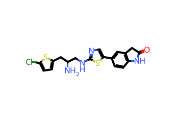 N[C@H](CNc1ncc(-c2ccc3c(c2)CC(=O)N3)s1)Cc1ccc(Cl)s1